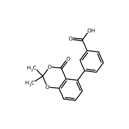 CC1(C)OC(=O)c2c(cccc2-c2cccc(C(=O)O)c2)O1